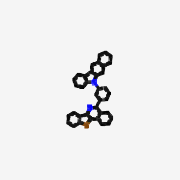 c1cc(-c2nc3c4ccccc4sc3c3ccccc23)cc(-n2c3ccccc3c3cc4ccccc4cc32)c1